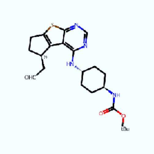 CC(C)(C)OC(=O)N[C@H]1CC[C@H](Nc2ncnc3sc4c(c23)[C@@H](CC=O)CC4)CC1